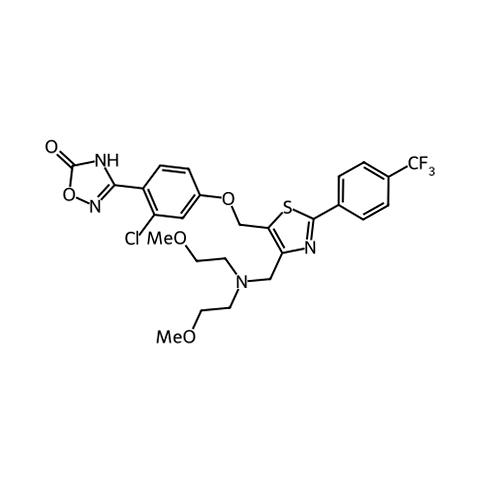 COCCN(CCOC)Cc1nc(-c2ccc(C(F)(F)F)cc2)sc1COc1ccc(-c2noc(=O)[nH]2)c(Cl)c1